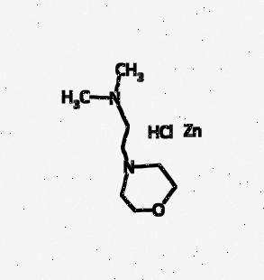 CN(C)CCN1CCOCC1.Cl.[Zn]